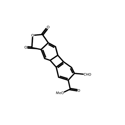 COC(=O)c1cc2c(cc1C=O)C1C=C3C(=O)OC(=O)C3=CC21